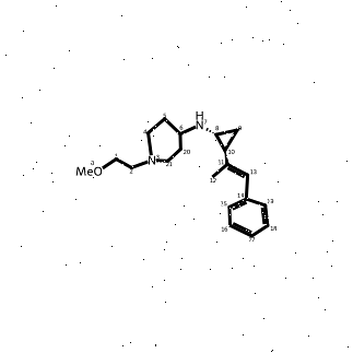 COCCN1CCC(N[C@@H]2C[C@H]2/C(C)=C/c2ccccc2)CC1